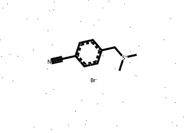 C[S+](C)Cc1ccc(C#N)cc1.[Br-]